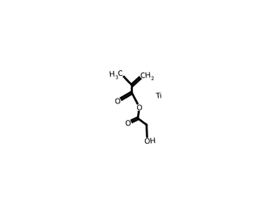 C=C(C)C(=O)OC(=O)CO.[Ti]